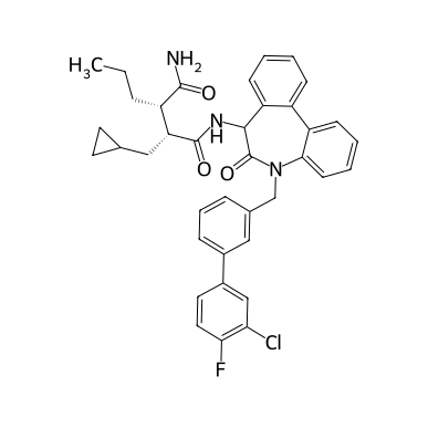 CCC[C@H](C(N)=O)[C@@H](CC1CC1)C(=O)NC1C(=O)N(Cc2cccc(-c3ccc(F)c(Cl)c3)c2)c2ccccc2-c2ccccc21